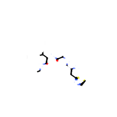 CCNC(=O)[C@@H](NC(=O)[C@H](C)NC[C@H](Cc1nccs1)NC)C(C)C